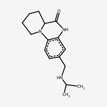 CC(C)NCc1ccc2c(c1)NC(=O)C1CCCCN21